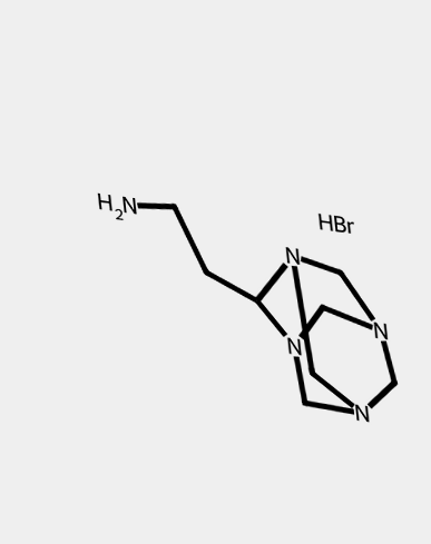 Br.NCCC1N2CN3CN(C2)CN1C3